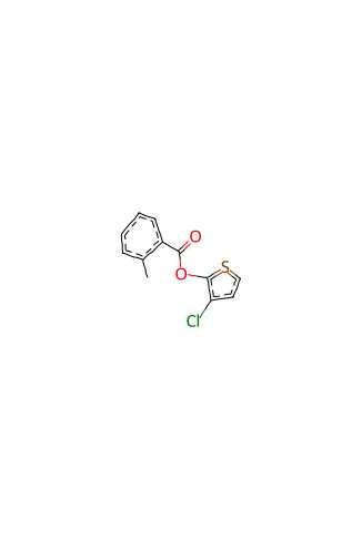 Cc1ccccc1C(=O)Oc1sccc1Cl